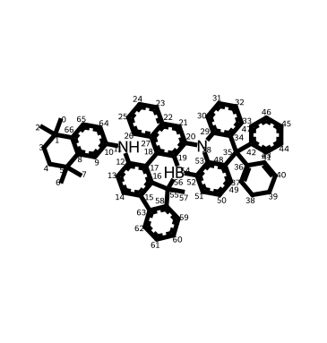 CC1(C)CCC(C)(C)c2cc(Nc3ccc4c(c3-c3c5c(cc6ccccc36)N3c6ccccc6C(C6=CCCC=C6)(c6ccccc6)c6cccc(c63)B5)C(C)(C)c3ccccc3-4)ccc21